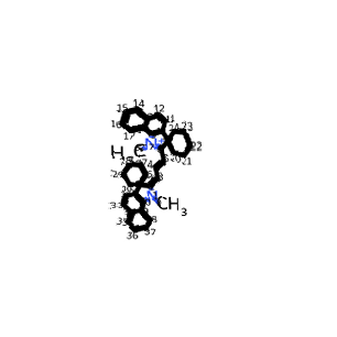 CN1/C(=C/C=C/C2=[N+](C)c3c(ccc4ccccc34)C23CCCCC3)C2(CCCCC2)c2ccc3ccccc3c21